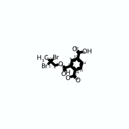 CC(Br)(Br)COC(=O)c1cc(C(=O)O)ccc1C(=O)O